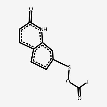 O=C(I)OSc1ccc2ccc(=O)[nH]c2c1